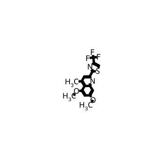 COc1cc(OC)c2c(C)cc(-c3nc(C(F)(F)F)cs3)nc2c1